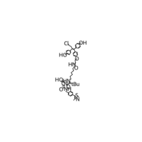 Cc1ncsc1-c1ccc(CNC(=O)[C@@H]2C[C@@H](O)CN2C(=O)[C@@H](NCCCCCCC(=O)NCCOc2ccc(C(=C(CCCl)c3ccc(O)cc3)c3ccc(O)cc3)cc2)C(C)(C)C)cc1